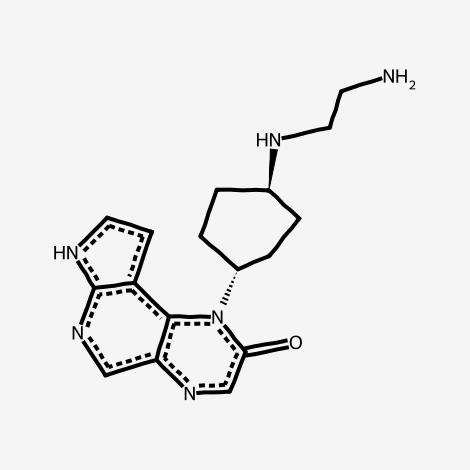 NCCN[C@H]1CC[C@H](n2c(=O)cnc3cnc4[nH]ccc4c32)CC1